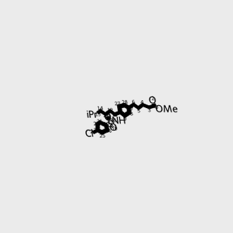 COC(=O)CCCCc1ccc(C(CCCC(C)C)NS(=O)(=O)c2ccc(Cl)cc2)cc1